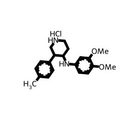 COc1ccc(NC2CCNCC2c2ccc(C)cc2)cc1OC.Cl